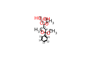 COC(CCC(OC)(OC)c1ccccc1)OB(O)O